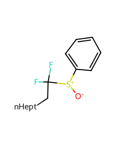 CCCCCCCCC(F)(F)[S+]([O-])c1ccccc1